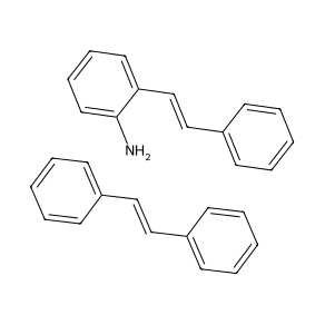 C(=Cc1ccccc1)c1ccccc1.Nc1ccccc1C=Cc1ccccc1